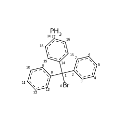 BrC(c1ccccc1)(c1ccccc1)c1ccccc1.P